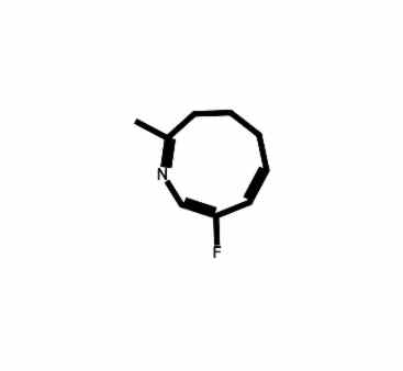 C/C1=N/C=C(F)\C=C/CCC1